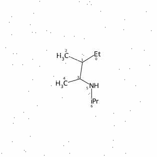 CCC(C)C(C)NC(C)C